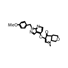 COc1ccc(Cn2ncc3c(O/C(=C/N(C)C)C(=O)C4CCOCC4)ccnc32)cc1